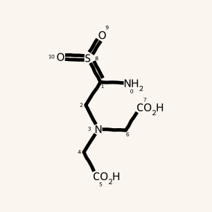 NC(CN(CC(=O)O)CC(=O)O)=S(=O)=O